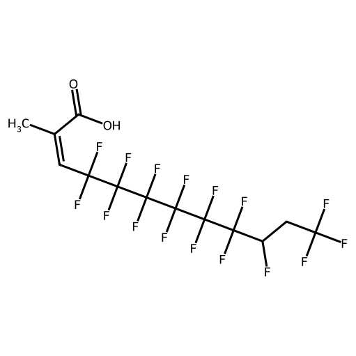 CC(=CC(F)(F)C(F)(F)C(F)(F)C(F)(F)C(F)(F)C(F)(F)C(F)CC(F)(F)F)C(=O)O